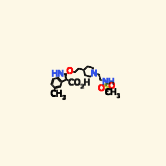 Cc1ccc2[nH]c(OCCC3CCN(CCNS(C)(=O)=O)CC3)c(C(=O)O)c2c1